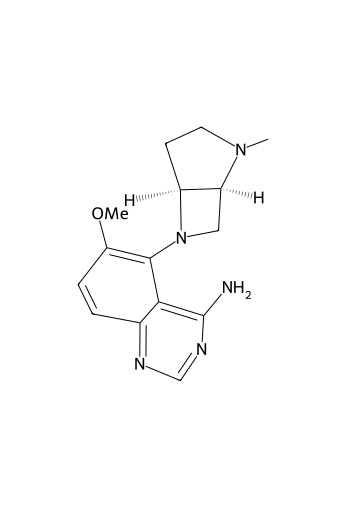 COc1ccc2ncnc(N)c2c1N1C[C@H]2[C@@H]1CCN2C